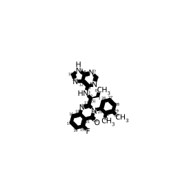 CC[C@H](Nc1ncnc2[nH]cnc12)c1nc2cccc(F)c2c(=O)n1-c1cccc(C)c1C